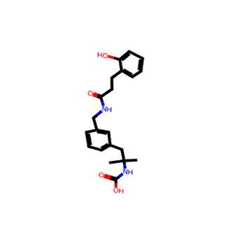 CC(C)(Cc1cccc(CNC(=O)CCc2ccccc2O)c1)NC(=O)O